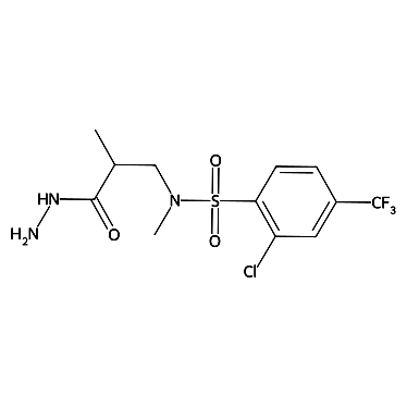 CC(CN(C)S(=O)(=O)c1ccc(C(F)(F)F)cc1Cl)C(=O)NN